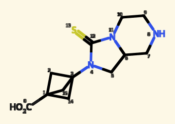 O=C(O)C12CC(N3CC4CNCCN4C3=S)(C1)C2